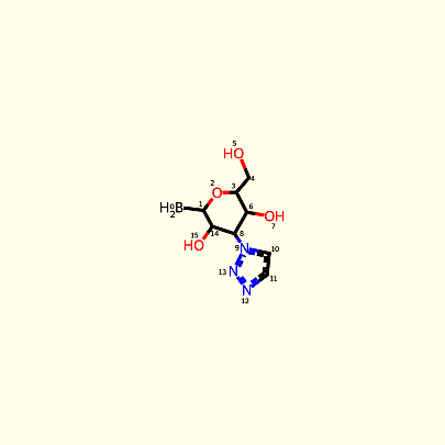 BC1OC(CO)C(O)C(n2ccnn2)C1O